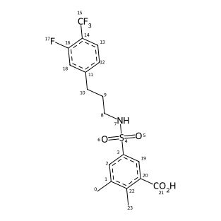 Cc1cc(S(=O)(=O)NCCCc2ccc(C(F)(F)F)c(F)c2)cc(C(=O)O)c1C